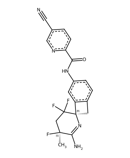 C[C@]1(F)CC(F)(F)[C@]2(Cc3ccc(NC(=O)c4ccc(C#N)cn4)cc32)N=C1N